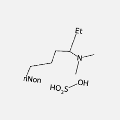 CCCCCCCCCCCCC(CC)N(C)C.O=S(=O)(O)O